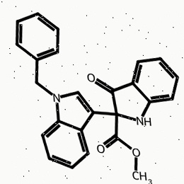 COC(=O)C1(c2cn(Cc3ccccc3)c3ccccc23)Nc2ccccc2C1=O